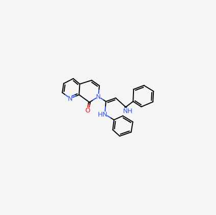 N=C(/C=C(\Nc1ccccc1)n1ccc2cccnc2c1=O)c1ccccc1